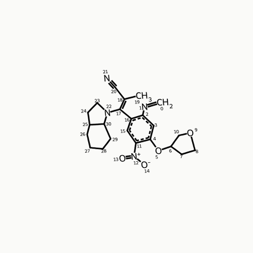 C=Nc1cc(OC2CCOC2)c([N+](=O)[O-])cc1/C(=C(\C)C#N)N1CCC2CCCCC21